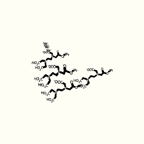 CC(C)OC(=O)CN(CCN(CC(=O)O)CC(=O)O)CC(=O)[O-].CC(C)OC(=O)CN(CCN(CC(=O)O)CC(=O)O)CC(=O)[O-].CC(C)OC(=O)CN(CCN(CC(=O)O)CC(=O)O)CC(=O)[O-].CC(C)OC(=O)CN(CCN(CC(=O)O)CC(=O)O)CC(=O)[O-].[Na+].[Na+].[Na+].[Na+]